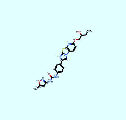 CNCC(O)COc1ccc2c(n1)sc1nc(-c3ccc(NC(=O)Nc4cc(C(C)(C)C)on4)cc3)cn12